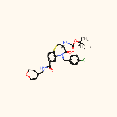 CC(C)(C)OC(=O)N[C@H]1CSc2ccc(C(=O)NCC3CCOCC3)cc2N(Cc2ccc(Cl)cc2)C1=O